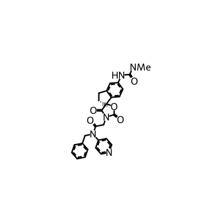 CNC(=O)Nc1ccc2c(c1)CC[C@@]21OC(=O)N(CC(=O)N(Cc2ccccc2)c2ccncc2)C1=O